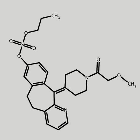 CCCOS(=O)(=O)Oc1ccc2c(c1)CCc1cccnc1C2=C1CCN(C(=O)COC)CC1